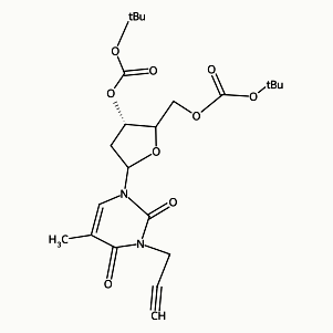 C#CCn1c(=O)c(C)cn(C2C[C@H](OC(=O)OC(C)(C)C)C(COC(=O)OC(C)(C)C)O2)c1=O